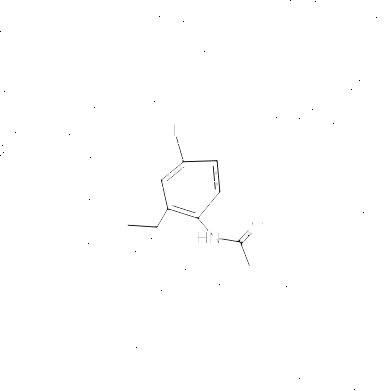 CCc1cc(I)ccc1NC(C)=O